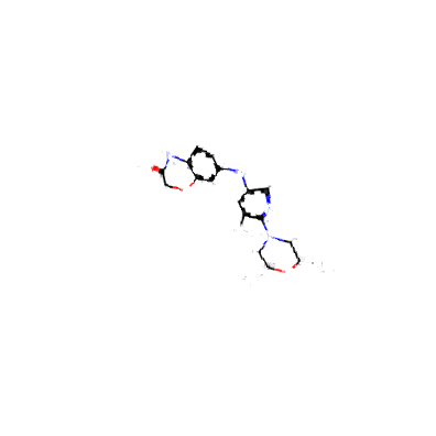 Cc1cc(Nc2ccc3c(c2)OCC(=O)N3)cnc1N1C[C@@H](C)O[C@@H](C)C1